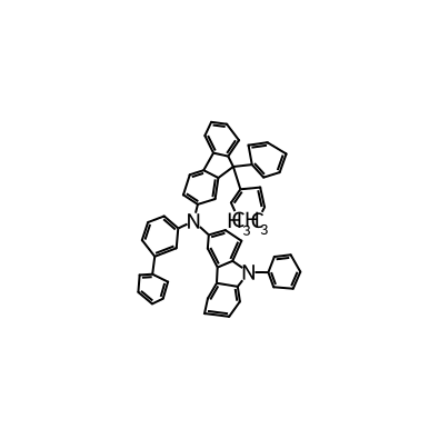 C/C=C\C(=C/C)C1(c2ccccc2)c2ccccc2-c2ccc(N(c3cccc(-c4ccccc4)c3)c3ccc4c(c3)c3ccccc3n4-c3ccccc3)cc21